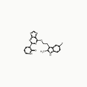 Cc1[nH]c2ccc(F)cc2c1CCOc1nc(-c2ccc[nH]c2=O)nc2scnc12